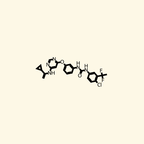 C=C(Nc1cc(Oc2cccc(NC(=O)Nc3ccc(Cl)c(C(C)(F)F)c3)c2)ncn1)C1CC1